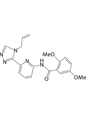 C=CCn1cnnc1-c1cccc(NC(=O)c2cc(OC)ccc2OC)n1